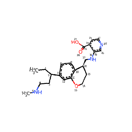 CCC(CCNC)c1ccc2c(c1)OCC[C@@H]2CNc1cnccc1C(=O)O